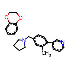 Cc1cc(CN2CCC[C@@H]2c2ccc3c(c2)OCCO3)ccc1-c1cccnc1